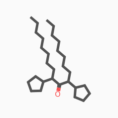 CCCCCCCCC(C(=O)C(CCCCCCCC)C1CCCC1)C1CCCC1